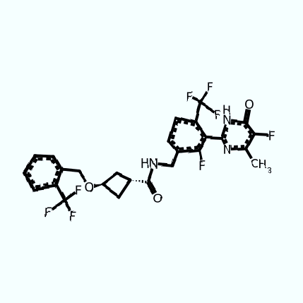 Cc1nc(-c2c(C(F)(F)F)ccc(CNC(=O)[C@H]3C[C@H](OCc4ccccc4C(F)(F)F)C3)c2F)[nH]c(=O)c1F